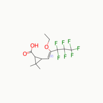 CCO/C(=C\C1C(C(=O)O)C1(C)C)C(F)(F)C(F)(F)C(F)(F)F